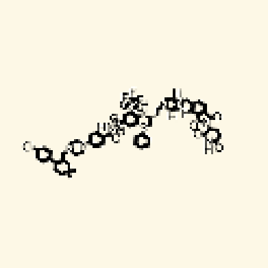 CC1(C)CCC(c2ccc(Cl)cc2)=C(CN2CCN(c3ccc(C(=O)NS(=O)(=O)c4ccc(N[C@H](CCN5C[C@@H]6C[C@H]5CN6Cc5ccc6c(c5F)C(=O)N(C5CCC(=O)NC5=O)C6=O)CSc5ccccc5)c(S(=O)(=O)C(F)(F)F)c4)cc3)CC2)C1